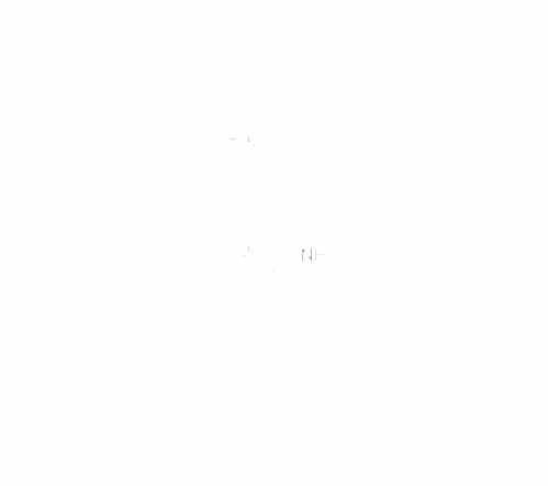 O=C(CC1CC1)Nc1cccc(C(F)(F)F)c1